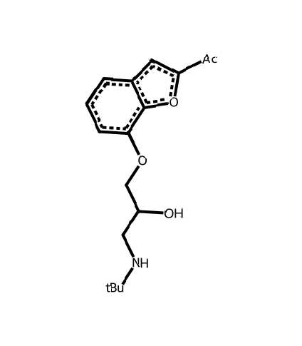 CC(=O)c1cc2cccc(OCC(O)CNC(C)(C)C)c2o1